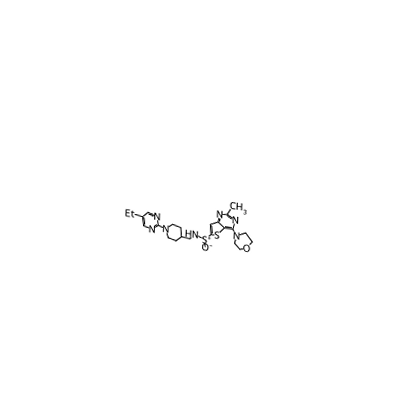 CCc1cnc(N2CCC(CN[S+]([O-])c3cc4nc(C)nc(N5CCOCC5)c4s3)CC2)nc1